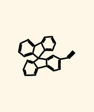 C#Cc1ccc2c(c1)C1(c3ccccc3-c3ccccc31)c1ccccc1-2